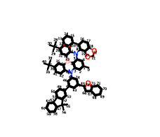 Cc1cc2c3c(c1)N(c1c(-c4ccccc4)ccc4c1OCO4)c1ccc(C(C)(C)C)cc1B3c1cc(C(C)(C)C)ccc1N2c1cc(-c2ccc3c(c2)C(C)(C)c2ccccc2-3)cc(-c2cc3ccccc3o2)c1